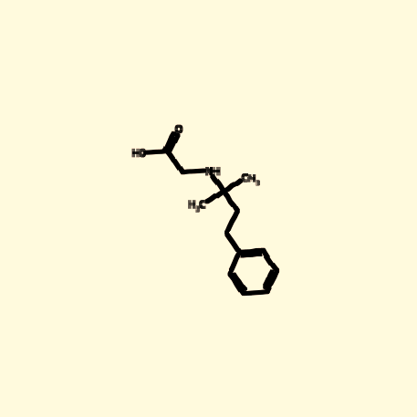 CC(C)(CCc1ccccc1)NCC(=O)O